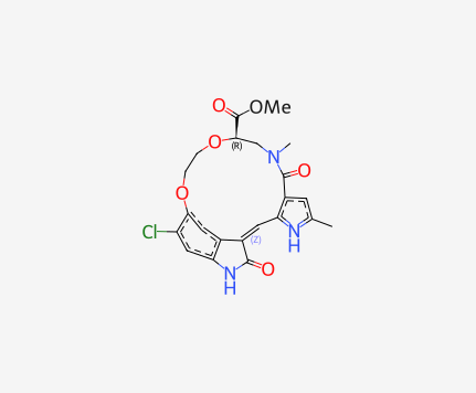 COC(=O)[C@H]1CN(C)C(=O)c2cc(C)[nH]c2/C=C2\C(=O)Nc3cc(Cl)c(cc32)OCCO1